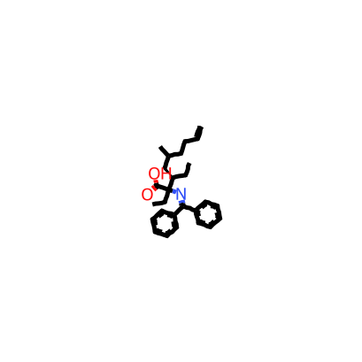 C=CCCC(C)C[C@@H](CC)C(CC)(N=C(c1ccccc1)c1ccccc1)C(=O)O